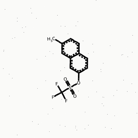 Cc1ccc2ccc(OS(=O)(=O)C(F)(F)F)cc2c1